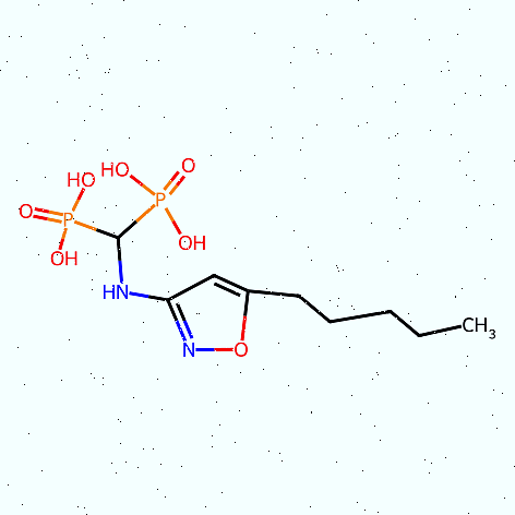 CCCCCc1cc(NC(P(=O)(O)O)P(=O)(O)O)no1